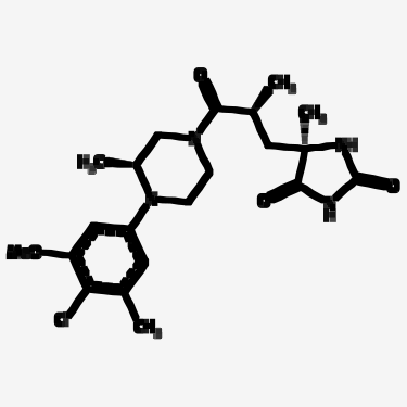 COc1cc(N2CCN(C(=O)[C@@H](C)C[C@@]3(C)NC(=O)NC3=O)C[C@@H]2C)cc(C)c1Cl